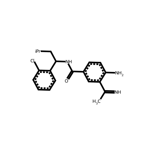 CC(=N)c1cc(C(=O)NC(CC(C)C)c2ccccc2Cl)ccc1N